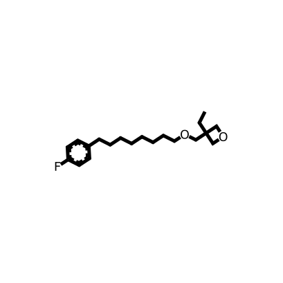 CCC1(COCCCCCCCCc2ccc(F)cc2)COC1